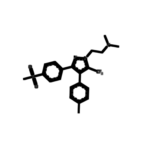 Cc1ccc(-c2c(-c3ccc(S(C)(=O)=O)cc3)nn(CCN(C)C)c2C(F)(F)F)cc1